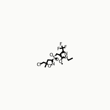 CCn1nc(C(F)(F)F)c(CS(=O)(=O)C2=NOC(C)(CCl)C2)c1OC